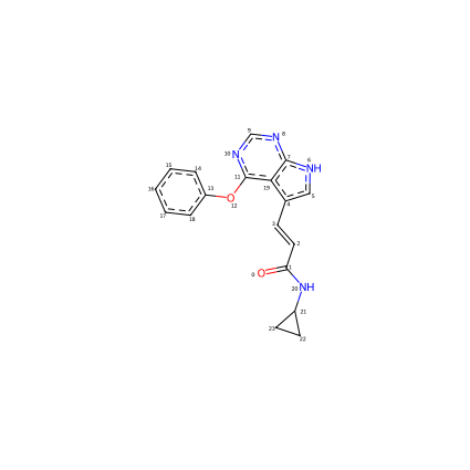 O=C(/C=C/c1c[nH]c2ncnc(Oc3ccccc3)c12)NC1CC1